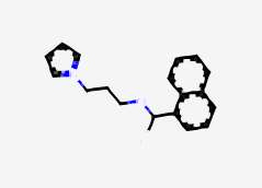 CC(NCCCn1cccc1)c1cccc2ccccc12